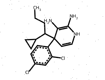 CCCC(C1CC1)C1(c2ccc(Cl)cc2Cl)C=CNC(N)=C1N